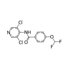 O=C(Nc1c(Cl)cncc1Cl)c1ccc(OC(F)F)cc1